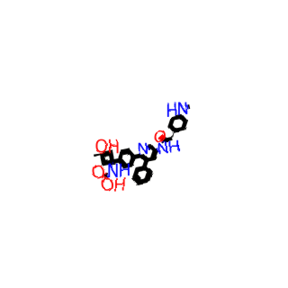 CN[C@H]1CC[C@H](CC(=O)Nc2cnc(-c3ccc([C@]4(NC(=O)O)C[C@@](C)(O)C4)cc3)c(-c3ccccc3)c2)CC1